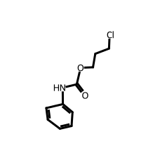 O=C(Nc1ccccc1)OCCCCl